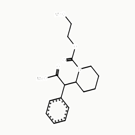 COCCOC(=O)N1CCCCC1C(C(=O)OC)c1ccccc1